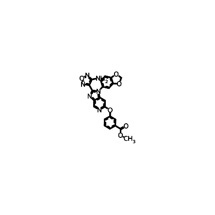 COC(=O)c1cccc(Oc2cc3c(cn2)nc(-c2nonc2N)n3-c2ccc3c(c2)OCO3)c1